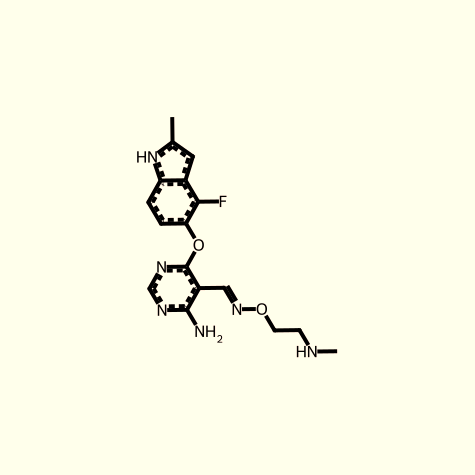 CNCCON=Cc1c(N)ncnc1Oc1ccc2[nH]c(C)cc2c1F